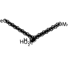 COCCOCCOCCOCCOCCOCCOCCOCCOCCOCCOCCOc1ccc(CC(N)C(=O)O)cc1OCCOCCOCCOCCOCCOCCOCCOCCOCCOCCOCCOC